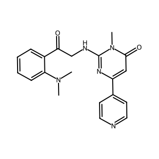 CN(C)c1ccccc1C(=O)CNc1nc(-c2ccncc2)cc(=O)n1C